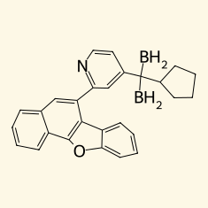 BC(B)(c1ccnc(-c2cc3ccccc3c3oc4ccccc4c23)c1)C1CCCC1